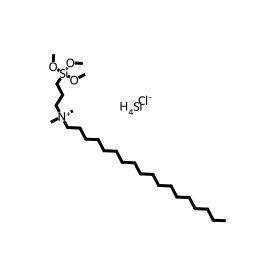 CCCCCCCCCCCCCCCCCC[N+](C)(C)CCC[Si](OC)(OC)OC.[Cl-].[SiH4]